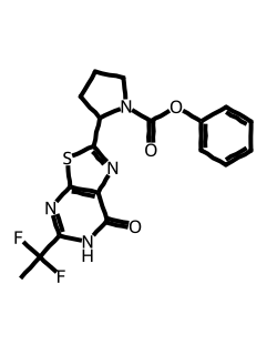 CC(F)(F)c1nc2sc(C3CCCN3C(=O)Oc3ccccc3)nc2c(=O)[nH]1